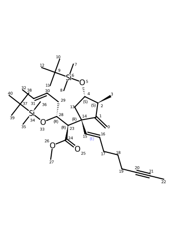 C=C1[C@H](C)[C@@H](O[Si](C)(C)C(C)(C)C)C[C@@]1(/C=C/CCCC#CC)[C@@H](C(=O)OC)[C@@H](CC=CC)O[Si](C)(C)C(C)(C)C